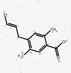 CC/C=C/Cc1cc(C)c(C(=O)Cl)cc1C(F)(F)F